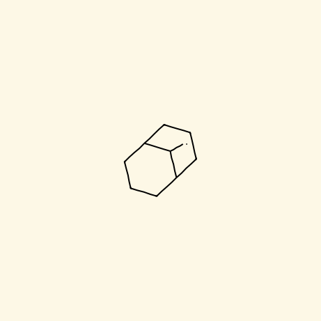 [CH2]C1C2CCCC1CCC2